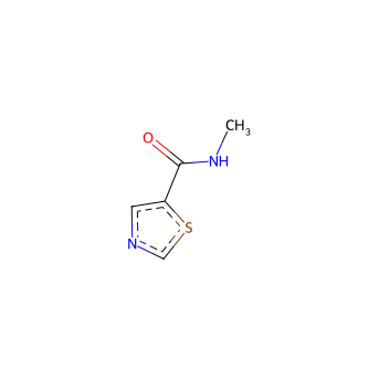 CNC(=O)c1cncs1